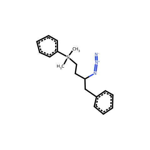 C[Si](C)(CCC(Cc1ccccc1)N=[N+]=[N-])c1ccccc1